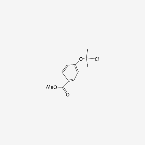 COC(=O)c1ccc(OC(C)(C)Cl)cc1